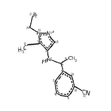 Cc1c(NC(C)c2cccc(C#N)c2)cnn1CC(C)C